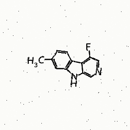 Cc1ccc2c(c1)[nH]c1cncc(F)c12